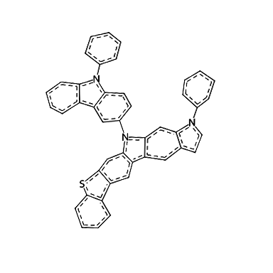 c1ccc(-n2ccc3cc4c5cc6c(cc5n(-c5ccc7c(c5)c5ccccc5n7-c5ccccc5)c4cc32)sc2ccccc26)cc1